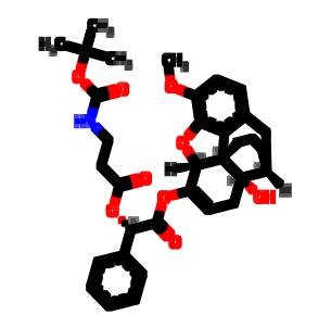 COc1ccc2c3c1O[C@H]1C(OC(=O)[C@@H](OC(=O)CCNC(=O)OC(C)(C)C)c4ccccc4)=CC[C@@]4(O)[C@H](CCC[C@]314)C2